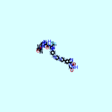 O=C1CCN(c2cncc3cc(C4CCN(C5CCN(C[C@H]6CC[C@H](n7cc(NC(=O)c8cnn9ccc(N%10C[C@H]%11C[C@@H]%10CO%11)nc89)c(C(F)F)n7)CC6)CC5)CC4)ccc23)C(=O)N1